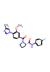 COc1cc(C(=O)N2CCC[C@H]2C(=O)Nc2ccc(F)cc2)ccc1-n1cnc(C)c1